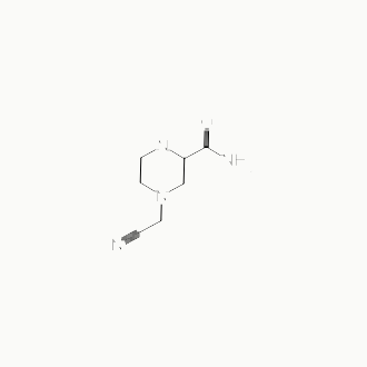 N#CCN1CC[N]C(C(N)=O)C1